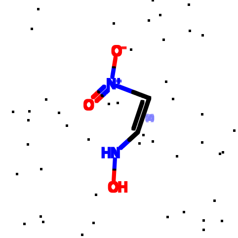 O=[N+]([O-])/C=C\NO